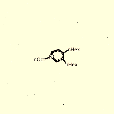 CCCCCCCC[n+]1ccc(CCCCCC)c(CCCCCC)c1